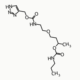 CCCNC(=O)OC(C)CCOCCNC(=O)OCc1c[nH]nn1